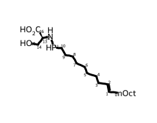 CCCCCCCCC=CCCCCCCCCPN[C@@H](CO)C(=O)O